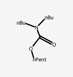 CCCCCOC(=O)N(CCCC)CCCC